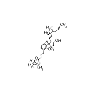 CC#CC[C@H](C)[C@H](O)/C=C/[C@@H]1[C@H]2c3cccc(CCCC(=O)OC(C)(C)C)c3O[C@H]2C[C@H]1O